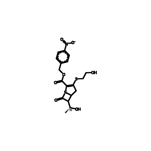 C[C@@H](O)C1C(=O)N2C(C(=O)OCc3ccc([N+](=O)[O-])cc3)=C(SCCO)CC12